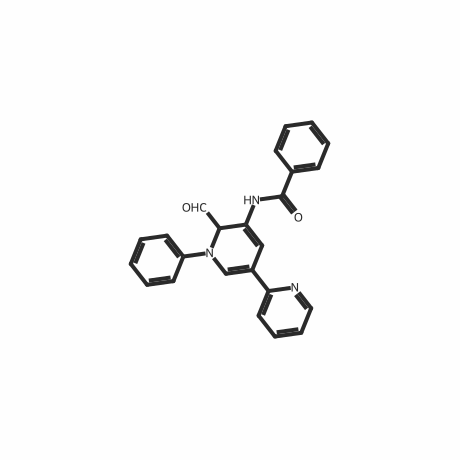 O=CC1C(NC(=O)c2ccccc2)=CC(c2ccccn2)=CN1c1ccccc1